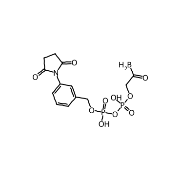 BC(=O)COP(=O)(O)OP(=O)(O)OCc1cccc(N2C(=O)CCC2=O)c1